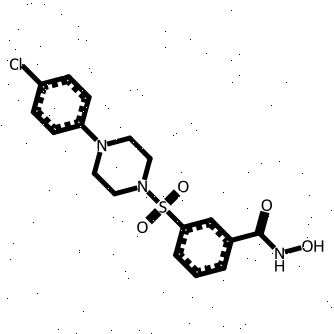 O=C(NO)c1cccc(S(=O)(=O)N2CCN(c3ccc(Cl)cc3)CC2)c1